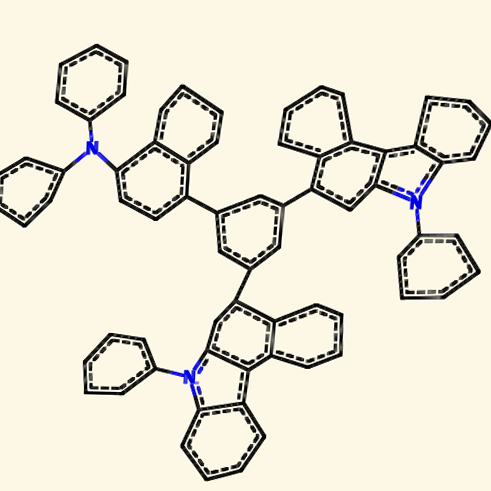 c1ccc(N(c2ccccc2)c2ccc(-c3cc(-c4cc5c(c6ccccc46)c4ccccc4n5-c4ccccc4)cc(-c4cc5c(c6ccccc46)c4ccccc4n5-c4ccccc4)c3)c3ccccc23)cc1